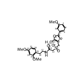 COc1cccc(-c2nc(CS(=O)(=O)CC(=O)NCCc3ccc(OC)cc3OC)c(C)o2)c1